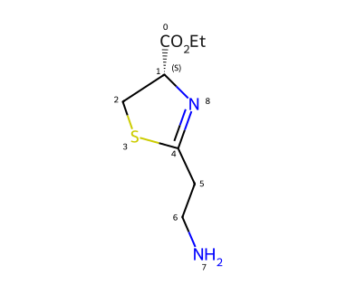 CCOC(=O)[C@H]1CSC(CCN)=N1